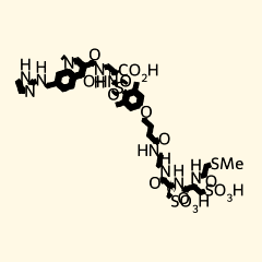 CSCC(=O)NC(CS(=O)(=O)O)C(=O)N[C@@H](CS(=O)(=O)O)C(=O)NCCNC(=O)CCCOc1cc(C)c(S(=O)(=O)N[C@@H](CNC(=O)c2cn(C)c3cc(CNc4ncc[nH]4)ccc3c2=O)C(=O)O)c(C)c1